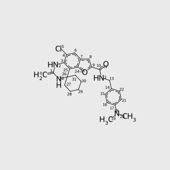 C=C1Nc2c(Cl)cc3cc(C(=O)NCc4ccc(N(C)C)cc4)oc3c2C2(CCCCC2)N1